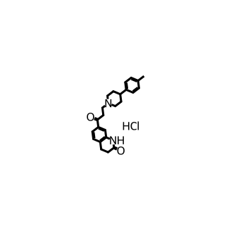 Cc1ccc(C2CCN(CCC(=O)c3ccc4c(c3)NC(=O)CC4)CC2)cc1.Cl